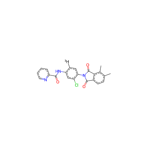 [3H]c1cc(N2C(=O)c3ccc(C)c(C)c3C2=O)c(Cl)cc1NC(=O)c1ccccn1